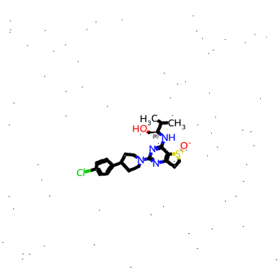 CC(C)[C@H](CO)Nc1nc(N2CCC(c3ccc(Cl)cc3)CC2)nc2c1[S+]([O-])CC2